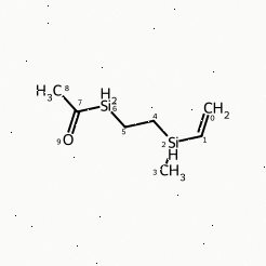 C=C[SiH](C)CC[SiH2]C(C)=O